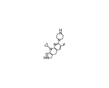 Fc1cc2c(nc1N1CCNCC1)N(C1CC1)C1=C(CNO1)C2